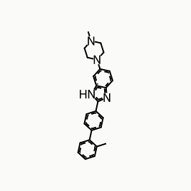 Cc1ccccc1-c1ccc(-c2nc3ccc(N4CCN(C)CC4)cc3[nH]2)cc1